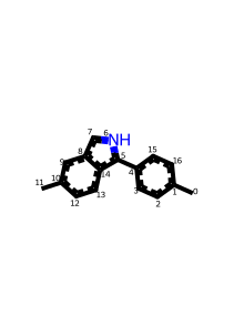 Cc1ccc(-c2[nH]cc3cc(C)ccc23)cc1